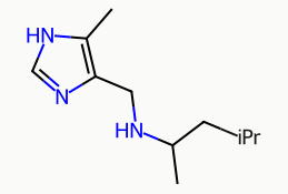 Cc1[nH]cnc1CNC(C)CC(C)C